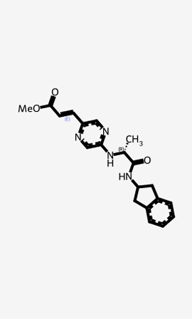 COC(=O)/C=C/c1cnc(N[C@H](C)C(=O)NC2Cc3ccccc3C2)cn1